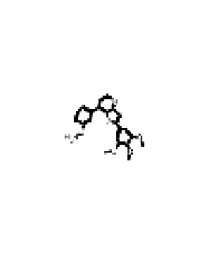 COc1cc(-c2cc3nccc(-c4cccc(SN)c4)c3o2)cc(OC)c1OC